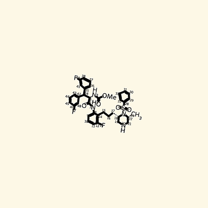 COC(=O)N[C@H](C(=O)Nc1cccc(F)c1CCC[C@H]1CNC[C@@H](C)N1S(=O)(=O)c1ccccc1)C(c1cccc(F)c1)c1cccc(F)c1